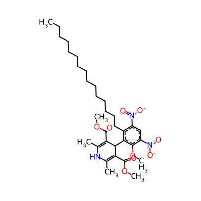 CCCCCCCCCCCCCCCc1c([N+](=O)[O-])cc([N+](=O)[O-])c(OC)c1C1C(C(=O)OC)=C(C)NC(C)=C1C(=O)OC